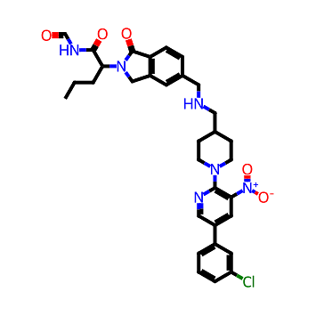 CCCC(C(=O)NC=O)N1Cc2cc(CNCC3CCN(c4ncc(-c5cccc(Cl)c5)cc4[N+](=O)[O-])CC3)ccc2C1=O